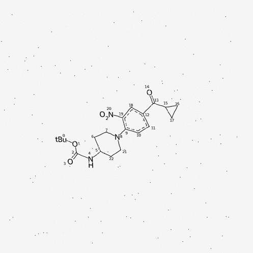 CC(C)(C)OC(=O)NC1CCN(c2ccc(C(=O)C3CC3)cc2[N+](=O)[O-])CC1